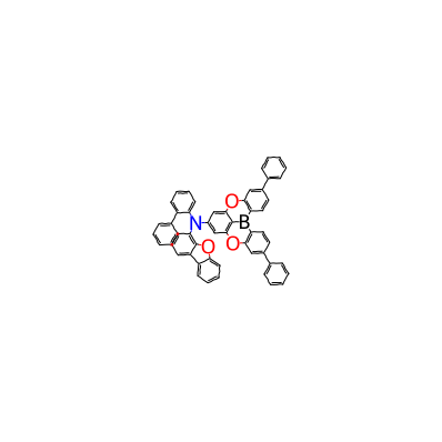 c1ccc(-c2ccc3c(c2)Oc2cc(N(c4ccccc4-c4ccccc4)c4cccc5c4oc4ccccc45)cc4c2B3c2ccc(-c3ccccc3)cc2O4)cc1